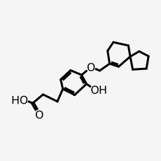 O=C(O)CCc1ccc(OCC2=CC3(CCCC3)CCC2)c(O)c1